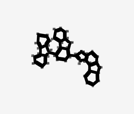 c1ccc2c(c1)oc1ccc3sc(-c4ccc(-n5c6ccccc6c6ccccc65)c5c4sc4ccccc45)nc3c12